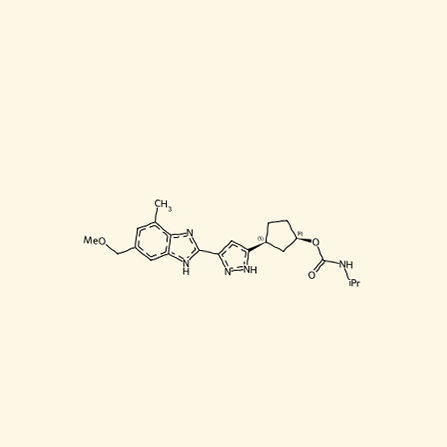 COCc1cc(C)c2nc(-c3cc([C@H]4CC[C@@H](OC(=O)NC(C)C)C4)[nH]n3)[nH]c2c1